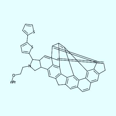 CCCOCCN1CC2c3cc4c5c6c(cc7ccc8cc9c%10c%11c(cc(c%12c3c5c(c%12%11)c3c6c7c8c%103)C2C1c1ccc(-c2cccs2)s1)C9)C4